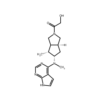 C[C@@H]1C2CN(C(=O)CO)C[C@H]2C[C@@H]1N(C)c1ncnc2[nH]ccc12